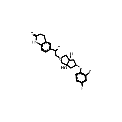 O=C1CCc2cc(C(O)CN3C[C@@H]4C[C@@H](Oc5ccc(F)cc5F)C[C@]4(O)C3)ccc2N1